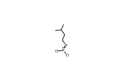 CC(C)CCN=[PH](Cl)Cl